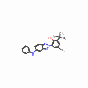 Cc1cc(-n2nc3ccc(Nc4ccccc4)cc3n2)c(O)c(C(C)(C)C)c1